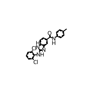 Cc1ccc(NC(=O)c2ccc3[nH]c(Nc4c(Cl)cccc4Cl)nc3c2)cc1